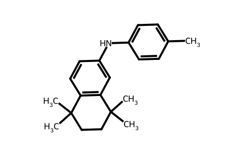 Cc1ccc(Nc2ccc3c(c2)C(C)(C)CCC3(C)C)cc1